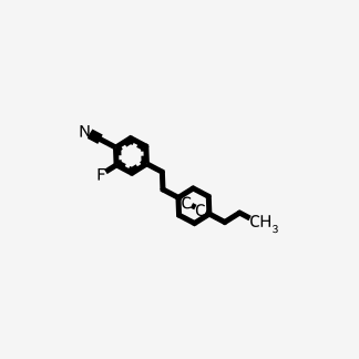 CCCC12CCC(CCc3ccc(C#N)c(F)c3)(CC1)CC2